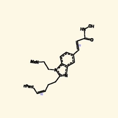 CCCCC/C=C\CCc1nc2cc(/C=C/C(=O)NO)ccc2n1CCNC